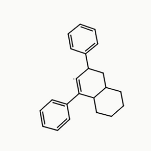 [C]1=C(c2ccccc2)C2CCCCC2CC1c1ccccc1